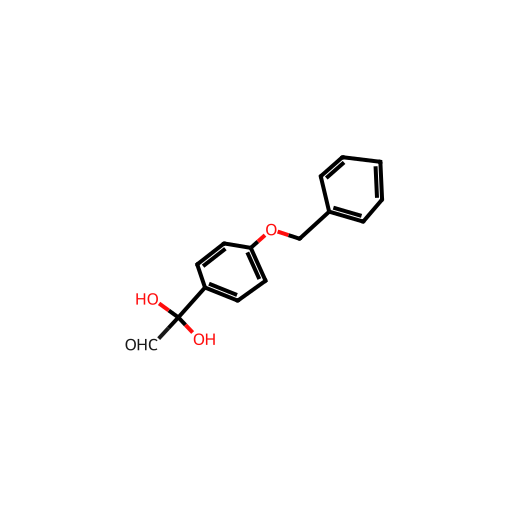 O=CC(O)(O)c1ccc(OCc2ccccc2)cc1